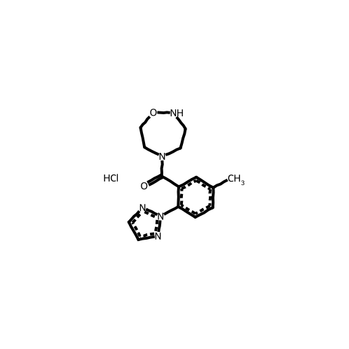 Cc1ccc(-n2nccn2)c(C(=O)N2CCNOCC2)c1.Cl